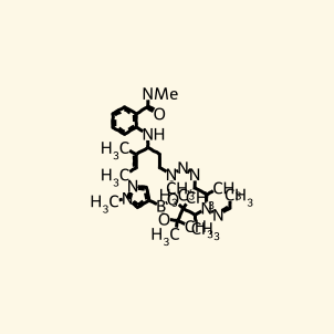 C/C=N\N(C(C)[C@H](C)/N=N\N(C)CCC(Nc1ccccc1C(=O)NC)/C(C)=C/C)C(C)C1(C)OB(c2cnn(C)c2)OC1(C)C